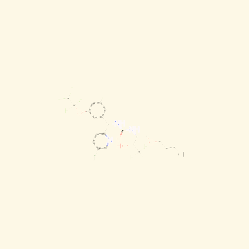 CCCCOC[C@@H](NC(=O)N[C@@H](c1cc(F)cc(OC(F)(F)C(F)F)c1)c1ccc(Cl)cn1)[C@@H](O)C(F)(F)F